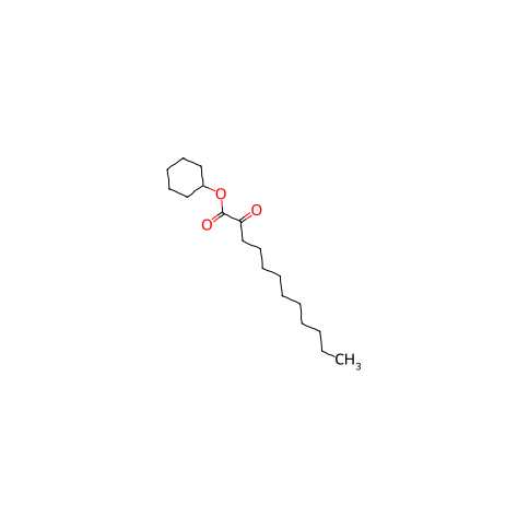 CCCCCCCCCCC(=O)C(=O)OC1CCCCC1